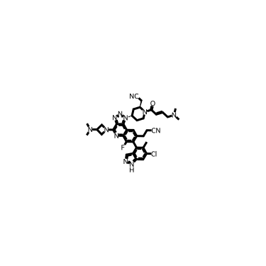 Cc1c(Cl)cc2[nH]ncc2c1-c1c(CCC#N)cc2c(nc(N3CC(N(C)C)C3)c3nnn([C@H]4CCN(C(=O)/C=C/CN(C)C)[C@H](CC#N)C4)c32)c1F